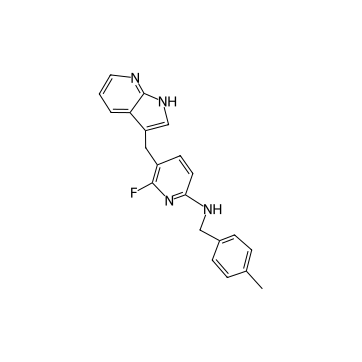 Cc1ccc(CNc2ccc(Cc3c[nH]c4ncccc34)c(F)n2)cc1